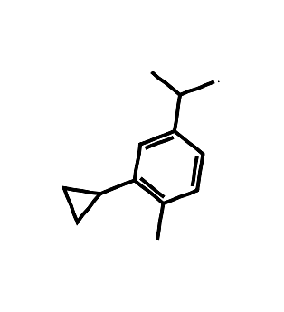 [CH2]C(C)c1ccc(C)c(C2CC2)c1